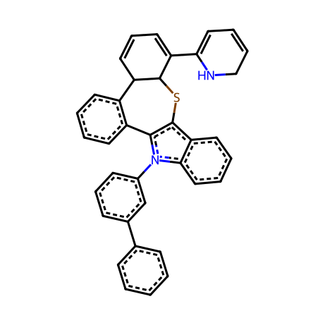 C1=CCNC(C2=CC=CC3c4ccccc4-c4c(c5ccccc5n4-c4cccc(-c5ccccc5)c4)SC23)=C1